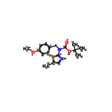 COc1ccc(CN(C(=O)OC(C)(C)C)c2ncc(C)s2)cc1